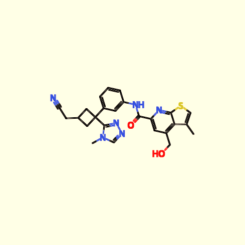 Cc1csc2nc(C(=O)Nc3cccc(C4(c5nncn5C)CC(CC#N)C4)c3)cc(CO)c12